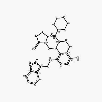 O=C1CCCN1C[C@@H]1c2c(OCc3noc4ncccc34)ccc(Cl)c2CCN1C(=O)C1CCCCC1